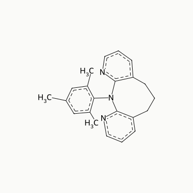 Cc1cc(C)c(N2c3ncccc3CCCc3cccnc32)c(C)c1